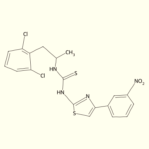 CC(Cc1c(Cl)cccc1Cl)NC(=S)Nc1nc(-c2cccc([N+](=O)[O-])c2)cs1